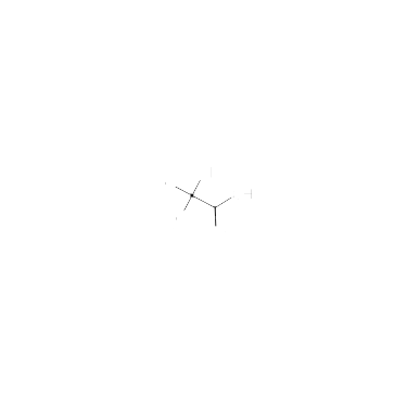 CC(C)C(C)C(C)(C)C(F)(F)F